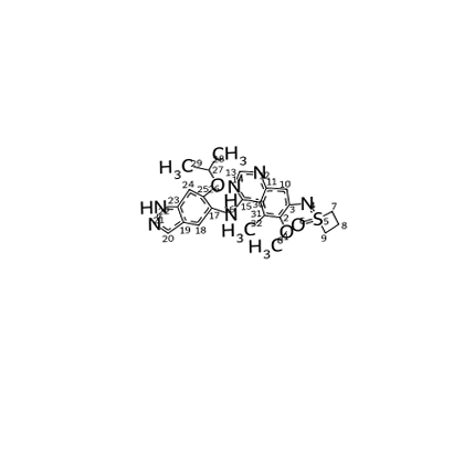 COc1c(N=S2(=O)CCC2)cc2ncnc(Nc3cc4cn[nH]c4cc3OC(C)C)c2c1C